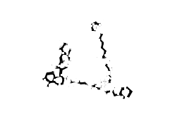 CC[C@@]1(O)C(=O)OCc2c1cc1n(c2=O)Cc2c-1nc1cc(F)c(C)c3c1c2[C@@H](NC(=O)OCCNC(=O)CNC(=O)C(Cc1ccccc1)NC(=O)CNC(=O)CNC(=O)CCCCCN1C(=O)C=CC1=O)CC3